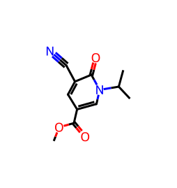 COC(=O)c1cc(C#N)c(=O)n(C(C)C)c1